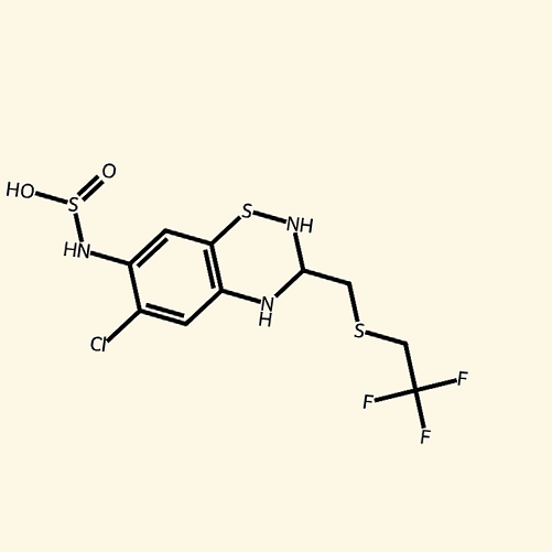 O=S(O)Nc1cc2c(cc1Cl)NC(CSCC(F)(F)F)NS2